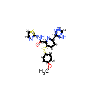 COc1ccc(Sc2ccc(-c3nnc[nH]3)nc2C(=O)Nc2nccs2)cc1